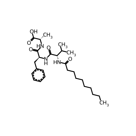 CCCCCCCCCC(=O)N[C@H](C(=O)N[C@@H](Cc1ccccc1)C(=O)N[C@@H](C)C(=O)O)C(C)C